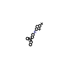 CC(C)(C)c1cc2c3c(ccc4cc(/C=C/c5ccc6cc(N(c7ccccc7)c7ccc8ccccc8c7)ccc6c5)cc(c43)C2(C)C)c1